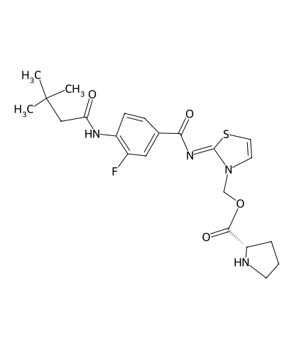 CC(C)(C)CC(=O)Nc1ccc(C(=O)/N=c2\sccn2COC(=O)[C@@H]2CCCN2)cc1F